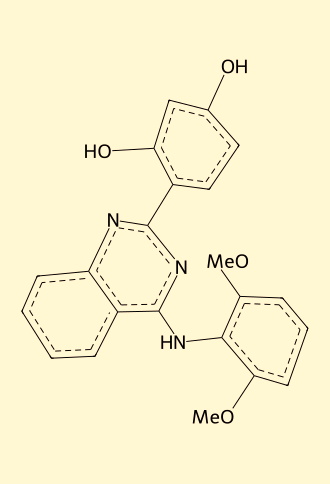 COc1cccc(OC)c1Nc1nc(-c2ccc(O)cc2O)nc2ccccc12